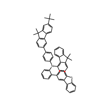 CC(C)(C)c1ccc2c(c1)C(C)(C)c1ccc(-c3ccc(N(c4ccccc4-c4ccc5sc6ccccc6c5c4)c4cccc5c4-c4ccccc4C5(C)C)cc3)cc1-2